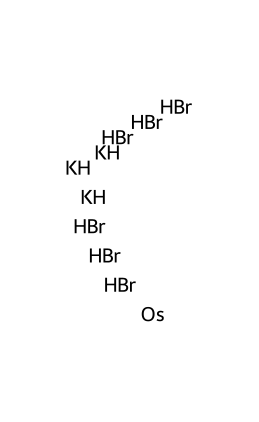 Br.Br.Br.Br.Br.Br.[KH].[KH].[KH].[Os]